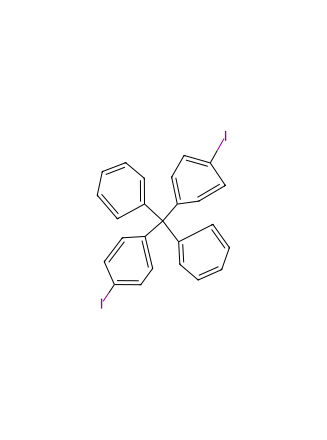 Ic1ccc(C(c2ccccc2)(c2ccccc2)c2ccc(I)cc2)cc1